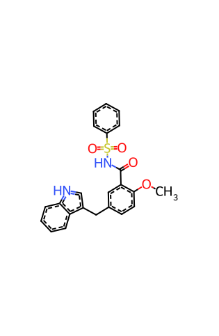 COc1ccc(Cc2c[nH]c3ccccc23)cc1C(=O)NS(=O)(=O)c1ccccc1